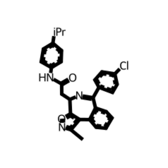 Cc1noc2c1-c1ccccc1C(c1ccc(Cl)cc1)=NC2CC(=O)Nc1ccc(C(C)C)cc1